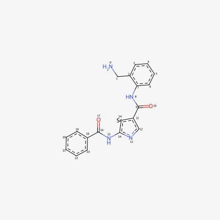 NCc1ccccc1NC(=O)c1cnc(NC(=O)c2ccccc2)[se]1